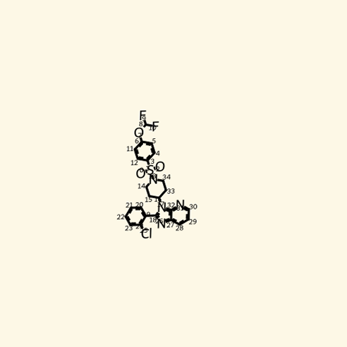 O=S(=O)(c1ccc(OC(F)F)cc1)N1CCC(n2c(-c3ccccc3Cl)nc3cccnc32)CC1